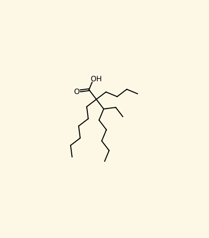 CCCCCCC(CCCC)(C(=O)O)C(CC)CCCCC